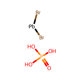 O=P(O)(O)O.[Br][Pb][Br]